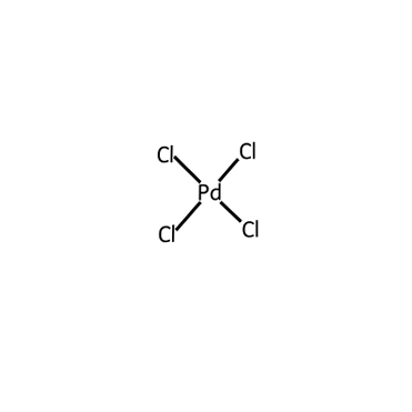 [Cl][Pd]([Cl])([Cl])[Cl]